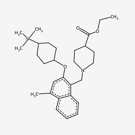 CCOC(=O)C1CCN(Cc2c(OC3CCC([Si](C)(C)C)CC3)cc(C)c3ccccc23)CC1